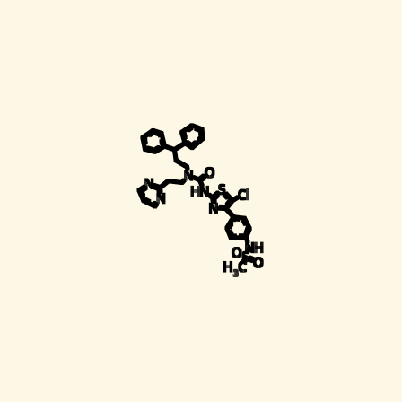 CS(=O)(=O)Nc1ccc(-c2nc(NC(=O)N(CCc3ncccn3)CCC(c3ccccc3)c3ccccc3)sc2Cl)cc1